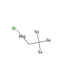 [2H]C([2H])([2H])[CH2][Mg][Br]